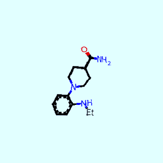 CCNc1ccccc1N1CCC(C(N)=O)CC1